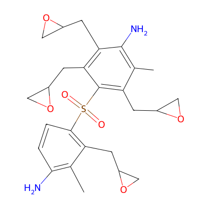 Cc1c(N)ccc(S(=O)(=O)c2c(CC3CO3)c(C)c(N)c(CC3CO3)c2CC2CO2)c1CC1CO1